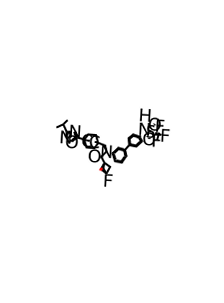 CC(C)c1noc(C23CCC(CN(C(=O)C45CC(F)(C4)C5)c4cccc(-c5ccc(NS(=O)(=O)C(F)(F)F)cc5)c4)(CC2)CC3)n1